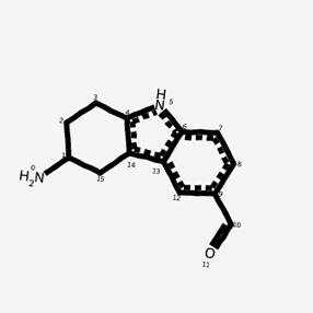 NC1CCc2[nH]c3ccc(C=O)cc3c2C1